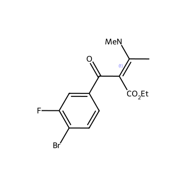 CCOC(=O)/C(C(=O)c1ccc(Br)c(F)c1)=C(\C)NC